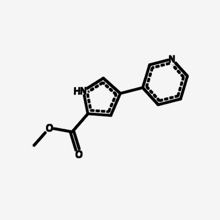 COC(=O)c1cc(-c2cccnc2)c[nH]1